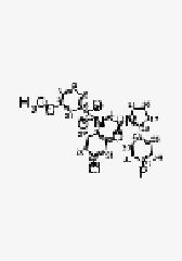 COc1cccc(S(=O)(=O)N(CC(=O)N2CCCC2c2ccc(F)cc2)c2ccc(Cl)cc2)c1